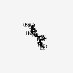 CCC(CC)n1cc(-c2nc(-c3cnn(C4CCN(C(=O)OC(C)(C)C)CC4O)c3)cn3nccc23)cn1